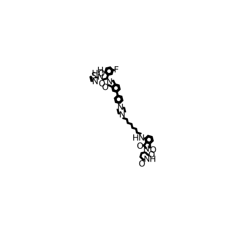 O=C1CCC(N2C(=O)c3cccc(NCCCCCCCCN4CCN(c5ccc(-c6ccc7c(c6)C(=O)N(C(C(=O)Nc6nccs6)c6cc(F)ccc6O)C7)cc5)CC4)c3C2=O)C(=O)N1